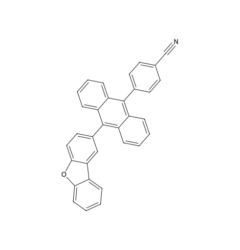 N#Cc1ccc(-c2c3ccccc3c(-c3ccc4oc5ccccc5c4c3)c3ccccc23)cc1